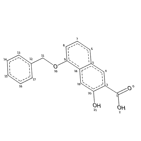 O=C(O)c1cc2cccc(OCc3ccccc3)c2cc1O